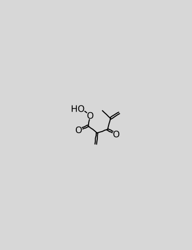 C=C(C)C(=O)C(=C)C(=O)OO